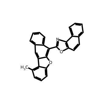 Cc1cccc2oc3c(-c4nc5c(ccc6ccccc65)o4)c4ccccc4cc3c12